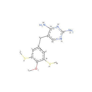 COc1c(SC)cc(Cc2cnc(N)nc2N)cc1SC